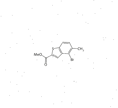 COC(=O)c1cc2c(Br)c(C)ccc2s1